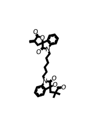 C=C1CC2(OC1=O)C(=O)N(CCCCCCN1C(=O)C3(CC(C)(C)C(=O)O3)c3ccccc31)c1ccccc12